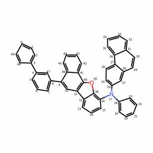 c1ccc(-c2cccc(-c3cc4c5cccc(N(c6ccccc6)c6ccc7c(ccc8ccccc87)c6)c5oc4c4ccccc34)c2)cc1